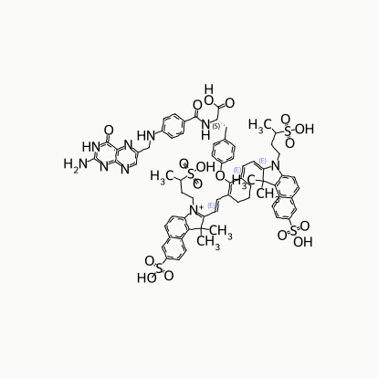 CC(CCN1/C(=C/C=C2\CCCC(/C=C/C3=[N+](CCC(C)S(=O)(=O)O)c4ccc5cc(S(=O)(=O)O)ccc5c4C3(C)C)=C2Oc2ccc(C[C@H](NC(=O)c3ccc(NCc4cnc5nc(N)[nH]c(=O)c5n4)cc3)C(=O)O)cc2)C(C)(C)c2c1ccc1cc(S(=O)(=O)O)ccc21)S(=O)(=O)O